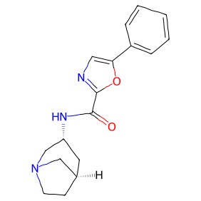 O=C(N[C@@H]1C[C@H]2CCN(C2)C1)c1ncc(-c2ccccc2)o1